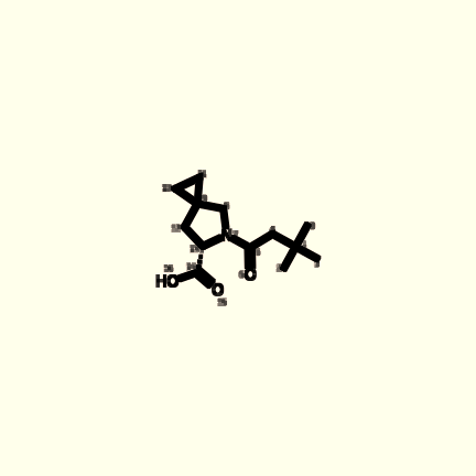 CC(C)(C)CC(=O)N1CC2(CC2)C[C@H]1C(=O)O